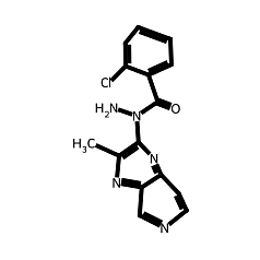 Cc1nc2cnccc2nc1N(N)C(=O)c1ccccc1Cl